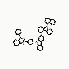 c1ccc(-c2nc(-c3ccc(-n4c5ccccc5c5ccc(-c6cccc7c6c6ccccc6n7-c6cccc7ccccc67)cc54)cc3)nc3ccccc23)cc1